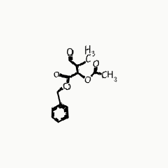 CC(=O)OC(C(=O)OCc1ccccc1)C(C)C=O